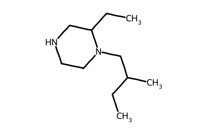 CCC(C)CN1CCNCC1CC